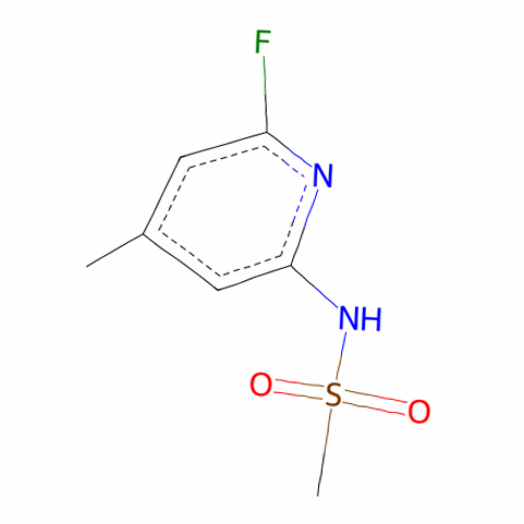 Cc1cc(F)nc(NS(C)(=O)=O)c1